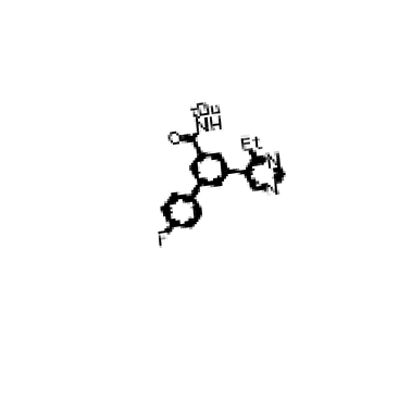 CCc1ncncc1-c1cc(C(=O)NC(C)(C)C)cc(-c2ccc(F)cc2)c1